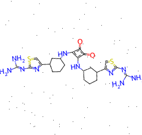 NC(N)=Nc1nc(C2CCCC(Nc3c(NC4CCCC(c5csc(N=C(N)N)n5)C4)c(=O)c3=O)C2)cs1